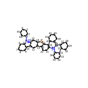 c1ccc(-n2c3ccccc3c3cc4c(cc32)sc2c3c(ccc24)N2B(c4ccccc4-c4ccccc42)c2ccccc2-3)cc1